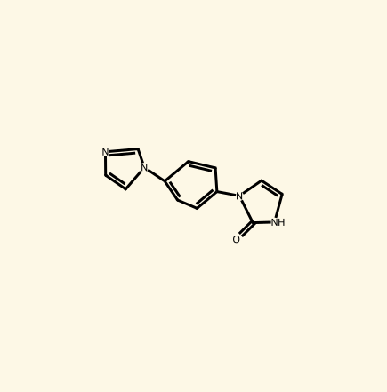 O=c1[nH]ccn1-c1ccc(-n2ccnc2)cc1